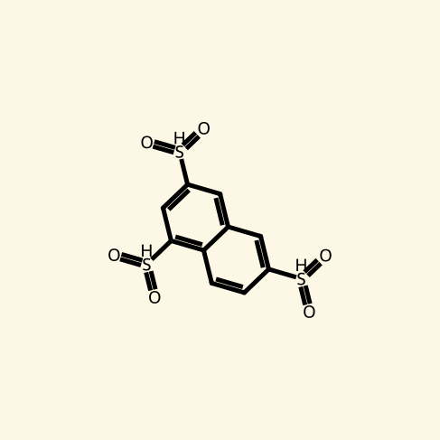 O=[SH](=O)c1ccc2c([SH](=O)=O)cc([SH](=O)=O)cc2c1